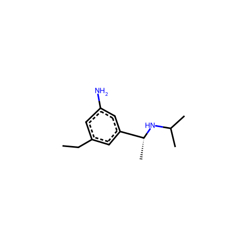 CCc1cc(N)cc([C@@H](C)NC(C)C)c1